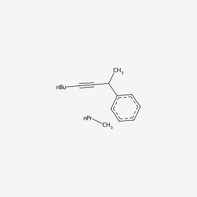 CCCC.CCCCC#CC(C)c1ccccc1